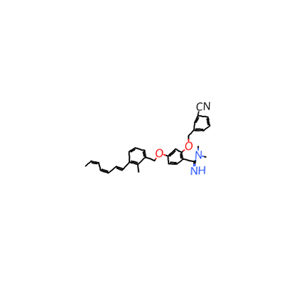 C\C=C/C=C\C=C\c1cccc(COc2ccc(C(=N)N(C)C)c(OCc3cccc(C#N)c3)c2)c1C